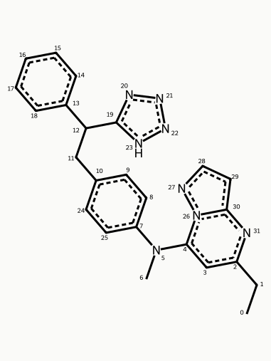 CCc1cc(N(C)c2ccc(CC(c3ccccc3)c3nnn[nH]3)cc2)n2nccc2n1